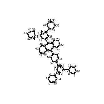 c1ccc(-c2nc(-c3ccccc3)nc(-c3ccc(-c4c5ccccc5c(-c5cc(-c6cccnc6)nc(-c6ccccn6)c5)c5ccccc45)cc3)n2)cc1